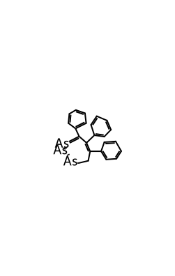 c1ccc(C2=[As][As]=[As]CCC(c3ccccc3)=C2c2ccccc2)cc1